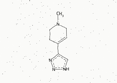 CN1CC=C(c2c[nH]nn2)CC1